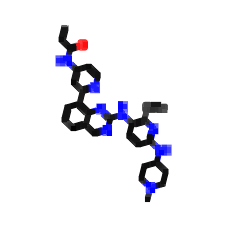 C=CC(=O)Nc1ccnc(-c2cccc3cnc(Nc4ccc(NC5CCN(C)CC5)nc4OC)nc23)c1